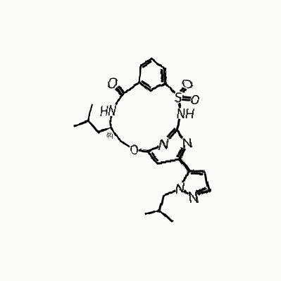 CC(C)C[C@@H]1COc2cc(-c3ccnn3CC(C)C)nc(n2)NS(=O)(=O)c2cccc(c2)C(=O)N1